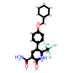 NC(=O)c1cc(-c2ccc(OCC3CCCCC3)cc2)c(C(F)(F)F)[nH]c1=O